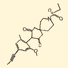 CC#Cc1cc(C)c(C2C(=O)CC3(CCN(S(=O)(=O)CC)CC3)CC2=O)c(OC)c1